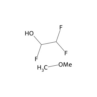 COC.OC(F)C(F)F